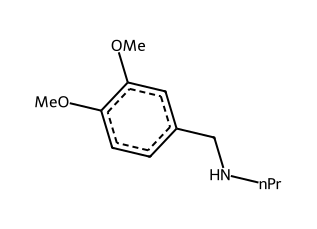 CCCNCc1ccc(OC)c(OC)c1